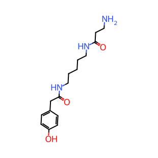 NCCC(=O)NCCCCCNC(=O)Cc1ccc(O)cc1